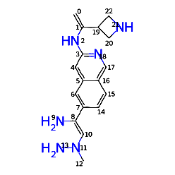 C=C(Nc1cc2cc(/C(N)=C/N(C)N)ccc2cn1)C1CNC1